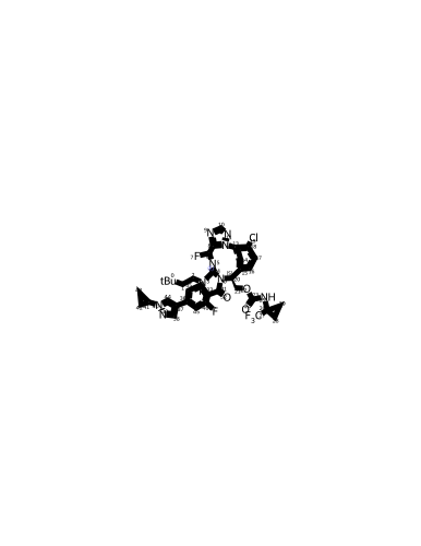 CC(C)(C)CCN/C1=N\C(F)c2ncnn2-c2cc(ccc2Cl)[C@@H](COC(=O)NC2(C(F)(F)F)CC2)N1C(=O)c1ccc(-c2cnn(C3CC3)c2)cc1F